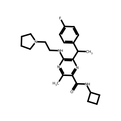 Cc1nc(NCCN2CCCC2)c(C(C)c2ccc(F)cc2)nc1C(=O)NC1CCC1